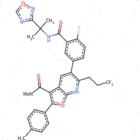 CNC(=O)c1c(-c2ccc(C)cc2)oc2nc(CCC(F)(F)F)c(-c3ccc(F)c(C(=O)NC(C)(C)c4ncon4)c3)cc12